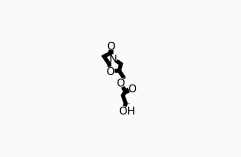 O=C(C[CH]O)OCC1CN2C(=O)CC2O1